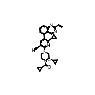 C=Cc1ncc2c(-c3cc(C#N)c(N4CCN(C(=O)C5CC5)[C@H](C5CC5)C4)nc3C3CC3)cccc2n1